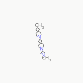 CC1CC2(CCN(C3CC4(CCN(C5CN(C)C5)CC4)C3)CC2)C1